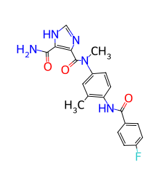 Cc1cc(N(C)C(=O)c2nc[nH]c2C(N)=O)ccc1NC(=O)c1ccc(F)cc1